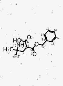 CC(N)(Br)CC(C(=O)O)C(=O)OCc1ccccc1